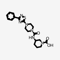 O=C(O)N1CCCC(NC(=O)N2CCN(c3nc(-c4ccccc4)ns3)CC2)C1